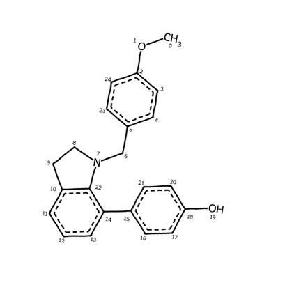 COc1ccc(CN2CCc3cccc(-c4ccc(O)cc4)c32)cc1